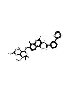 CO[C@@H]1[C@@H](OC(N)O)[C@@H](O)[C@H](Oc2ccc3c(O)c(NC(=O)c4cccc(-c5ccccn5)c4)c(=O)oc3c2C)OC1(C)C